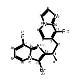 C[C@H](Cc1ccn2ccnc2c1F)c1nc2c(F)cccn2c1Br